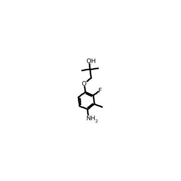 Cc1c(N)ccc(OCC(C)(C)O)c1F